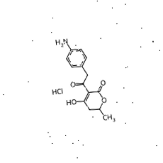 CC1CC(O)=C(C(=O)Cc2ccc(N)cc2)C(=O)O1.Cl